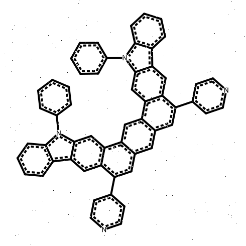 c1ccc(-n2c3ccccc3c3cc4c(-c5ccncc5)cc5cc6cc(-c7ccncc7)c7cc8c9ccccc9n(-c9ccccc9)c8cc7c6cc5c4cc32)cc1